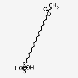 C=CC(=O)OCCCCCCCCCCCCCCCCCCSP(O)(O)=S